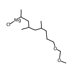 COCOCCCC(C)CC(C)C[CH](C)[Mg][Cl]